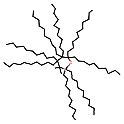 CCCCCCCCCCC1(CCCCCCCCCC)O[Si](CCCCCCCCCC)(CCCCCCCCCC)C(C)(C)C(CCCCCCCCCC)(CCCCCCCCCC)C1(CCCCCCCCCC)CCCCCCCCCC